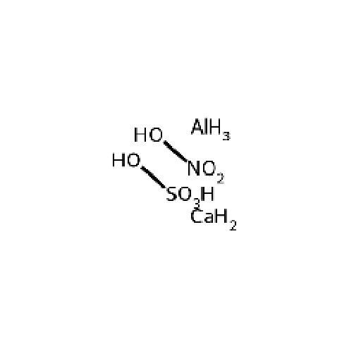 O=S(=O)(O)O.O=[N+]([O-])O.[AlH3].[CaH2]